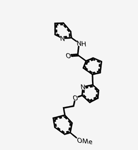 COc1cccc(CCOc2cccc(-c3cccc(C(=O)Nc4ccccn4)c3)n2)c1